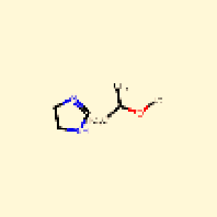 C1=NCCN1.CCOC(C)C(=O)O